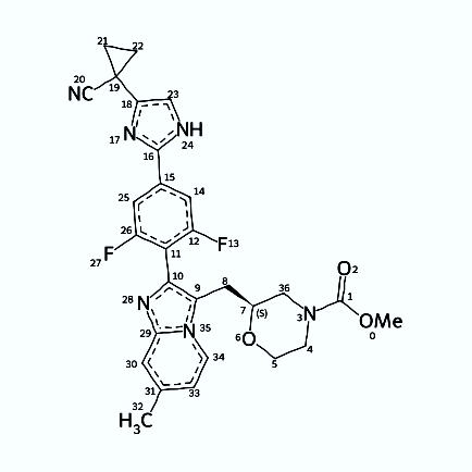 COC(=O)N1CCO[C@@H](Cc2c(-c3c(F)cc(-c4nc(C5(C#N)CC5)c[nH]4)cc3F)nc3cc(C)ccn23)C1